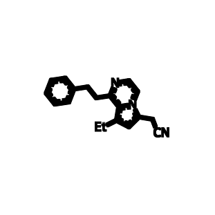 CCc1cc(CC#N)n2ccnc(CCc3ccccc3)c12